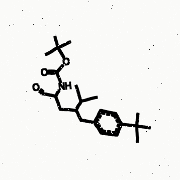 CC(C)C(Cc1ccc(C(C)(C)C)cc1)CC(C=O)NC(=O)OC(C)(C)C